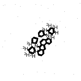 [2H]c1c([2H])c([2H])c(N(c2ccccc2)c2cccc3c2ccc2c(N(c4ccccc4)c4c([2H])c([2H])c([2H])c([2H])c4[2H])c4ccccc4cc23)c([2H])c1[2H]